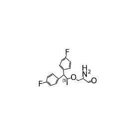 C[C@H](OCC(N)C=O)C(c1ccc(F)cc1)c1ccc(F)cc1